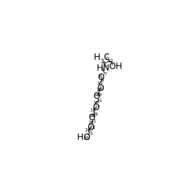 CC(CO)CNCCOCCOCCOCCOCCOCCOCCO